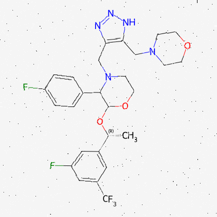 C[C@@H](OC1OCCN(Cc2nn[nH]c2CN2CCOCC2)C1c1ccc(F)cc1)c1cc(F)cc(C(F)(F)F)c1